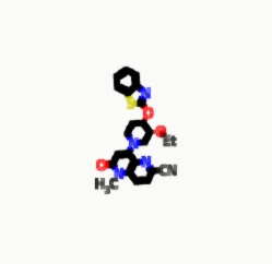 CCO[C@@H]1CN(c2cc(=O)n(C)c3ccc(C#N)nc23)CC[C@H]1Oc1nc2ccccc2s1